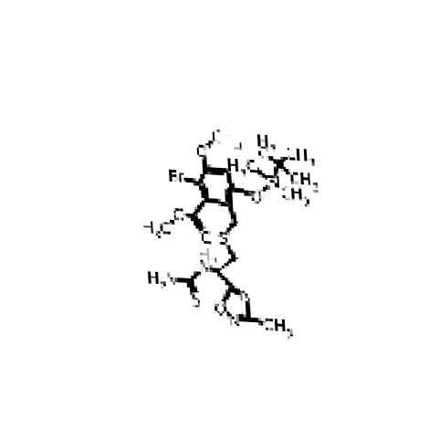 COC(=O)c1c(Br)c(OC)cc(O[Si](C)(C)C(C)(C)C)c1CSC[C@H](NC(N)=S)c1nc(C)no1